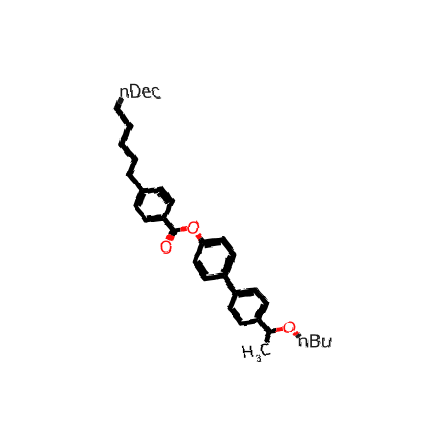 CCCCCCCCCCCCCCCc1ccc(C(=O)Oc2ccc(-c3ccc(C(C)OCCCC)cc3)cc2)cc1